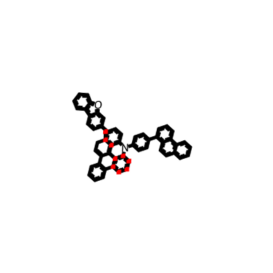 CC1C=C(c2ccccc2N(c2ccc(-c3ccc4c(c3)oc3ccccc34)cc2)c2ccc(-c3cccc4c3ccc3ccccc34)cc2)C(c2ccccc2-c2ccccc2)=CC1